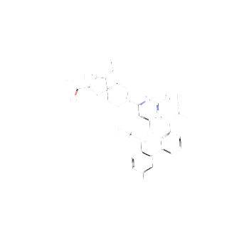 CC[C@@H]1NC(C(=O)O)CC12CCN(c1cc(O[C@H](c3ccc(Cl)cc3-c3cccc(OC(C)C)c3)C(F)(F)F)nc(N)n1)CC2